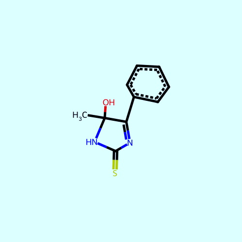 CC1(O)NC(=S)N=C1c1ccccc1